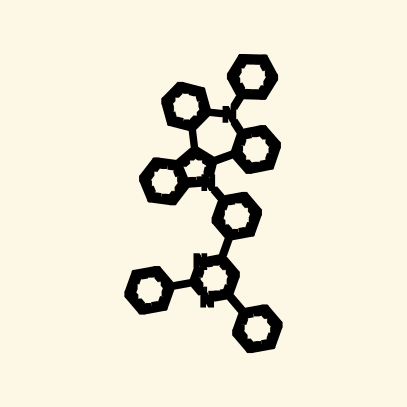 c1ccc(-c2cc(-c3cccc(-n4c5c(c6ccccc64)-c4ccccc4N(c4ccccc4)c4ccccc4-5)c3)nc(-c3ccccc3)n2)cc1